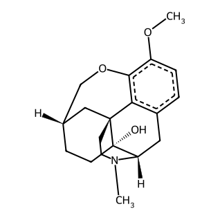 COc1ccc2c3c1OC[C@H]1CC[C@]4(O)[C@H](C2)N(C)CC[C@@]34C1